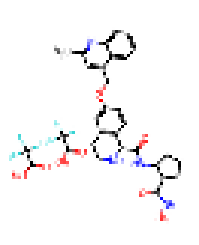 Cc1cc(COc2ccc3c(c2)CCNC3C(=O)NC2CCCC2C(=O)NO)c2ccccc2n1.O=C(O)C(F)(F)F.O=C(O)C(F)(F)F